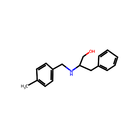 Cc1ccc(CNC(CO)Cc2ccccc2)cc1